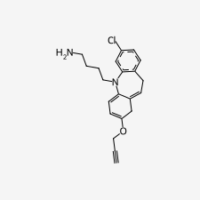 C#CCOC1=CC=C2C(=CCc3ccc(Cl)cc3N2CCCCN)C1